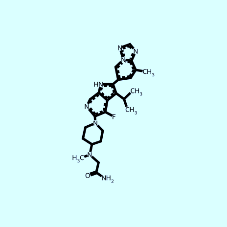 Cc1cc(-c2[nH]c3cnc(N4CCC(N(C)CC(N)=O)CC4)c(F)c3c2C(C)C)cn2ncnc12